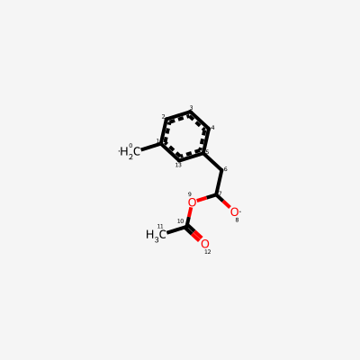 [CH2]c1cccc(CC([O])OC(C)=O)c1